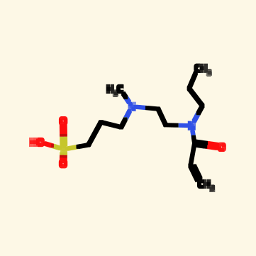 C=CC(=O)N(CCC)CCN(C)CCCS(=O)(=O)O